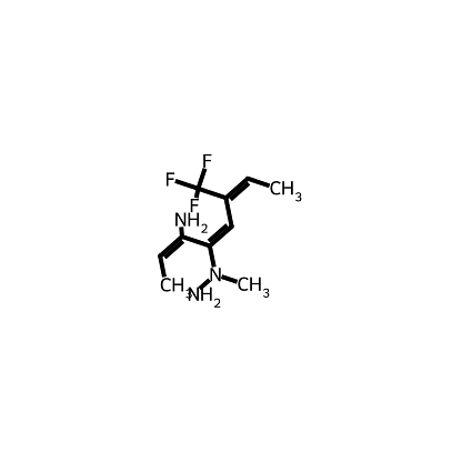 C\C=C(N)/C(=C\C(=C/C)C(F)(F)F)N(C)N